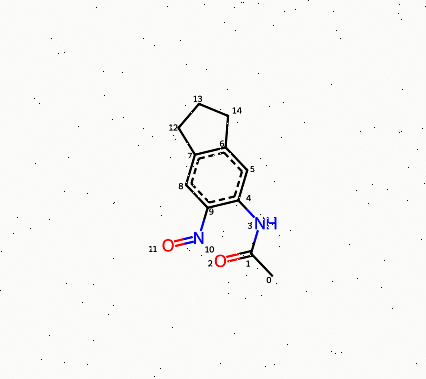 CC(=O)Nc1cc2c(cc1N=O)CCC2